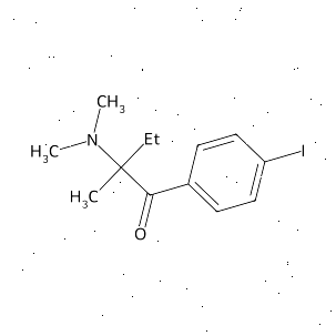 CCC(C)(C(=O)c1ccc(I)cc1)N(C)C